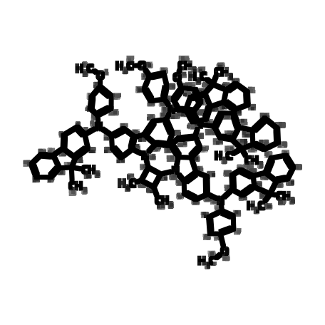 COc1ccc(N(c2ccc3c(c2)C(C)(C)c2ccccc2-3)c2ccc3c(c2)c2cc(N(c4ccc(OC)cc4)c4ccc5c(c4)C(C)(C)c4ccccc4-5)ccc2n3C2C(C)C(C)C2n2c3ccc(N(c4ccc(OC)cc4)c4ccc5c(c4)C(C)(C)c4ccccc4-5)cc3c3cc(N(c4ccc(OC)cc4)c4ccc5c(c4)C(C)(C)c4ccccc4-5)ccc32)cc1